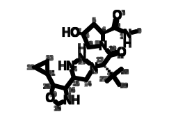 CNC(=O)[C@@H]1C[C@@H](O)CN1C(=O)[C@@H](N1CC(C2NCOC2C2CC2)NN1)C(C)(C)C